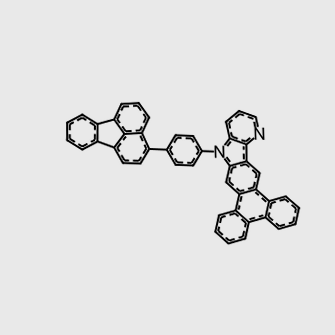 c1ccc2c(c1)-c1cccc3c(-c4ccc(-n5c6cc7c8ccccc8c8ccccc8c7cc6c6ncccc65)cc4)ccc-2c13